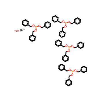 [Br-].[Br-].[Ni+2].c1ccc(COP(OCc2ccccc2)OCc2ccccc2)cc1.c1ccc(COP(OCc2ccccc2)OCc2ccccc2)cc1.c1ccc(COP(OCc2ccccc2)OCc2ccccc2)cc1.c1ccc(COP(OCc2ccccc2)OCc2ccccc2)cc1